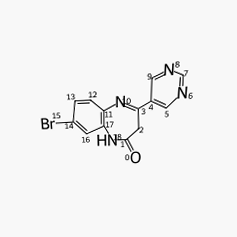 O=C1CC(c2cncnc2)=Nc2ccc(Br)cc2N1